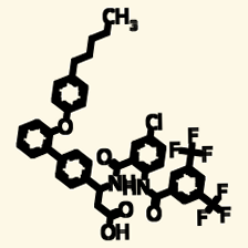 CCCCCc1ccc(Oc2ccccc2-c2ccc(C(CC(=O)O)NC(=O)c3cc(Cl)ccc3NC(=O)c3cc(C(F)(F)F)cc(C(F)(F)F)c3)cc2)cc1